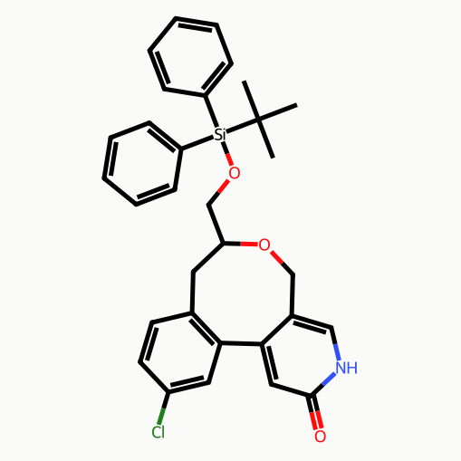 CC(C)(C)[Si](OCC1Cc2ccc(Cl)cc2-c2cc(=O)[nH]cc2CO1)(c1ccccc1)c1ccccc1